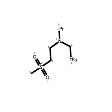 CC(C)N(CCS(C)(=O)=O)CC(C)(C)C